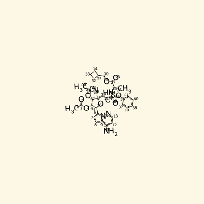 CC(=O)O[C@H]1[C@H](c2ccc3c(N)ccnn23)O[C@](C#N)(CO[P@](=O)(N[C@@H](C)C(=O)OCC2CCC2)Oc2ccccc2)[C@H]1OC(C)=O